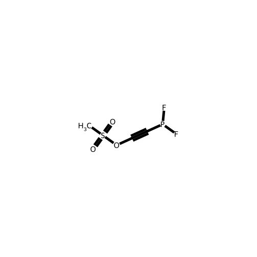 CS(=O)(=O)OC#CP(F)F